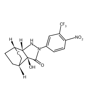 O=C1N(c2ccc([N+](=O)[O-])c(C(F)(F)F)c2)N[C@H]2[C@H]3CC[C@H](CC3)[C@@]12O